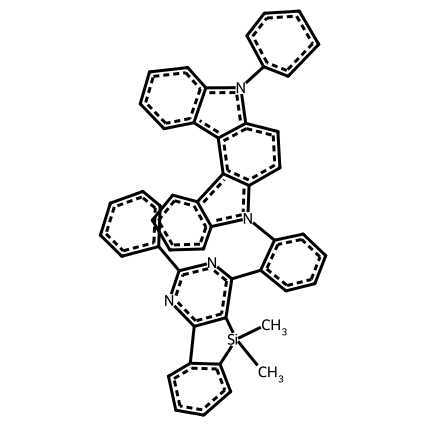 C[Si]1(C)c2ccccc2-c2nc(-c3ccccc3)nc(-c3ccccc3-n3c4ccccc4c4c5c6ccccc6n(-c6ccccc6)c5ccc43)c21